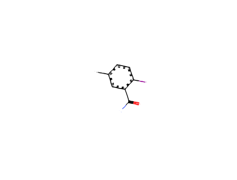 NC(=O)c1cc(N=O)ccc1I